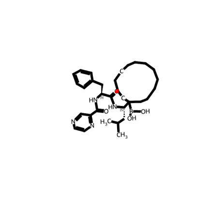 CC(C)C[C@H](NC(=O)[C@H](Cc1ccccc1)NC(=O)c1cnccn1)C1(B(O)O)CCCCCCCCCCCC1